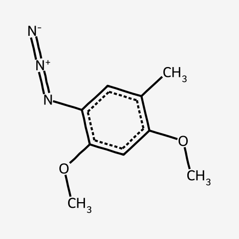 COc1cc(OC)c(N=[N+]=[N-])cc1C